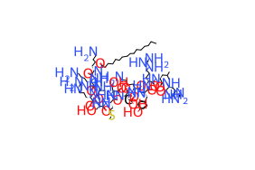 CCCCCCCCCCCCCCCC(=O)N[C@@H](CCCCN)C(=O)N[C@@H](CCCCN)C(=O)N[C@@H](C)C(=O)N[C@@H](CCCNC(=N)N)C(=O)N[C@H](CO)C(=O)N[C@@H](CCSC)C(=O)N[C@H](C(=O)N[C@@H](CC(=O)O)C(=O)N[C@@H](CCCCN)C(=O)N[C@@H](Cc1ccc(O)cc1)C(=O)N[C@@H](CCCNC(=N)N)C(=O)N[C@@H](CC(C)C)C(=O)N[C@@H](Cc1c[nH]cn1)C(N)=O)[C@@H](C)O